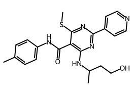 CSc1nc(-c2ccncc2)nc(NC(C)CCO)c1C(=O)Nc1ccc(C)cc1